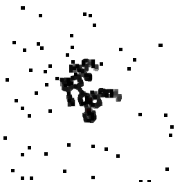 CCS(=N)(=O)c1cc(-c2ccc(N3CC4CC(C3)N4Cc3ccc(OC)nc3)nc2)c2c(C#N)cnn2c1